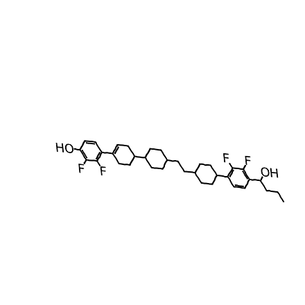 CCCC(O)c1ccc(C2CCC(CCC3CCC(C4CC=C(c5ccc(O)c(F)c5F)CC4)CC3)CC2)c(F)c1F